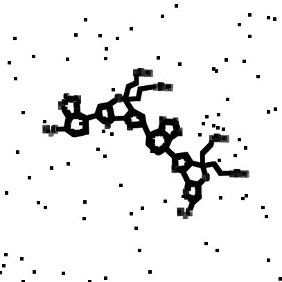 CCCCCCCCCCCCC1(CCCCCCCCCCCC)Oc2cc(C)sc2-c2sc(-c3ccc(-c4cc5c(s4)-c4sc(-c6ccc(C)c7nsnc67)cc4OC5(CCCCCCCCCCCC)CCCCCCCCCCCC)c4nsnc34)cc21